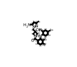 Cc1cc(N)n(CC2(O)CN(C(=O)c3ccc(F)c(F)c3Nc3ccc(I)cc3F)C2)n1